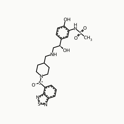 CS(=O)(=O)Nc1cc([C@@H](O)CNCC2CCN([S+]([O-])c3cccc4nsnc34)CC2)ccc1O